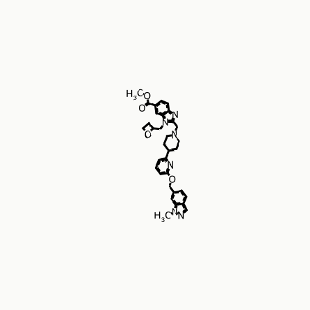 COC(=O)c1ccc2nc(CN3CCC(c4cccc(OCc5ccc6cnn(C)c6c5)n4)CC3)n(CC3CCO3)c2c1